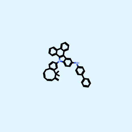 C=C1/C=C\C=C/Cc2ccc(-n3c4ccc(Nc5ccc(-c6ccccc6)cc5)cc4c4c5ccccc5c5ccccc5c43)cc2C1(C)C